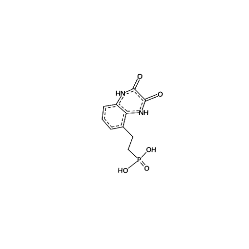 O=c1[nH]c2cccc(CCP(=O)(O)O)c2[nH]c1=O